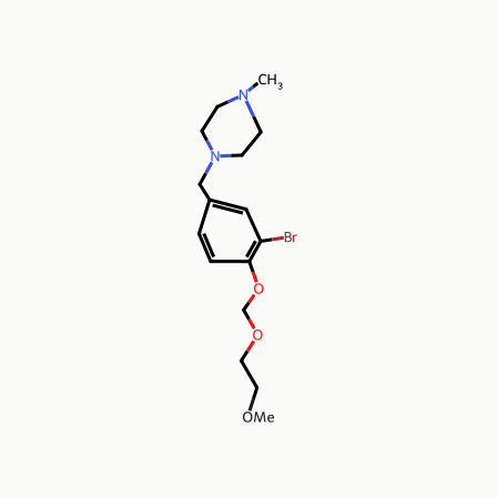 COCCOCOc1ccc(CN2CCN(C)CC2)cc1Br